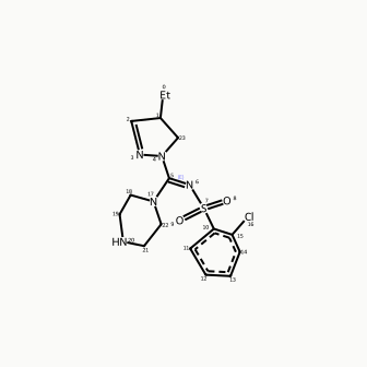 CCC1C=NN(/C(=N/S(=O)(=O)c2ccccc2Cl)N2CCNCC2)C1